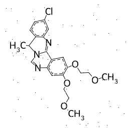 COCCOc1cc2c(cc1OCCOC)C1=Nc3cc(Cl)ccc3C(C)N1C=N2